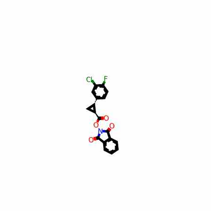 O=C(ON1C(=O)c2ccccc2C1=O)[C@H]1C[C@@H]1c1ccc(F)c(Cl)c1